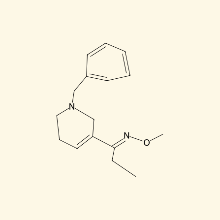 CCC(=NOC)C1=CCCN(Cc2ccccc2)C1